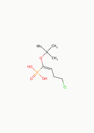 CC(C)(C)[Si](C)(C)OC(=CCCCl)P(=O)(O)O